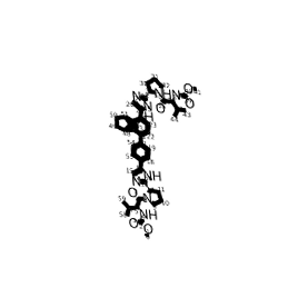 COC(=O)N[C@H](C(=O)N1CCC[C@H]1c1ncc(-c2ccc(-c3ccc(-c4cnc([C@@H]5CCCN5C(=O)[C@H](NC(=O)OC)C(C)C)[nH]4)c4c3C3CCC4C3C)cc2)[nH]1)C(C)C